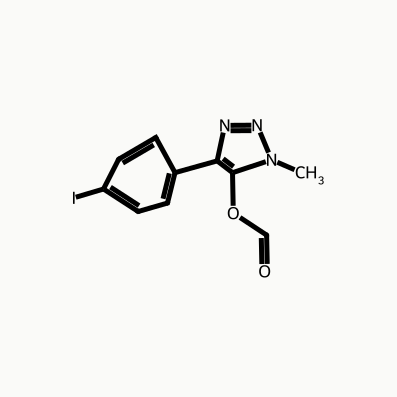 Cn1nnc(-c2ccc(I)cc2)c1OC=O